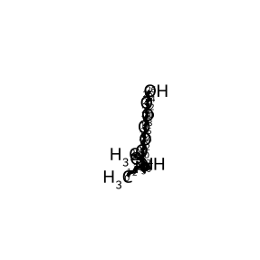 CCCC[n+]1cc[nH]c1C(COCCOCCOCCOCCOCCO)OC